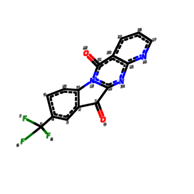 O=C1c2cc(C(F)(F)F)ccc2-n2c1nc1ncccc1c2=O